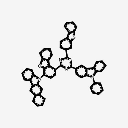 c1ccc(-n2c3ccccc3c3cc(-c4nc(-c5ccc6c(c5)sc5ccccc56)nc(-c5ccc(-n6c7ccccc7c7cc8ccccc8cc76)c6oc7ccccc7c56)n4)ccc32)cc1